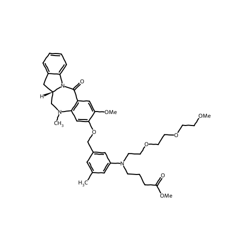 COCCOCCOCCN(CCCC(=O)OC)c1cc(C)cc(COc2cc3c(cc2OC)C(=O)N2c4ccccc4C[C@H]2CN3C)c1